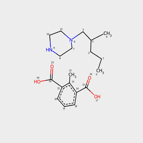 CCCC(C)CN1CCNCC1.Cc1c(C(=O)O)cccc1C(=O)O